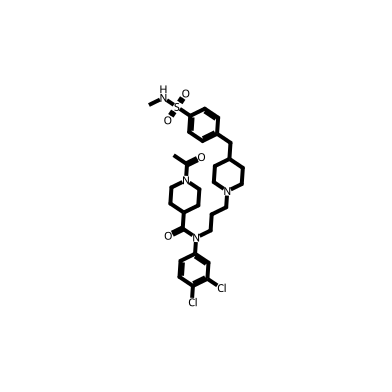 CNS(=O)(=O)c1ccc(CC2CCN(CCCN(C(=O)C3CCN(C(C)=O)CC3)c3ccc(Cl)c(Cl)c3)CC2)cc1